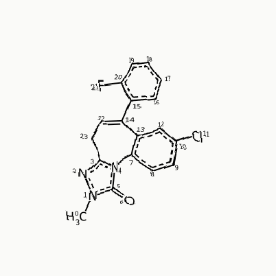 Cn1nc2n(c1=O)-c1ccc(Cl)cc1C(c1ccccc1F)=CC2